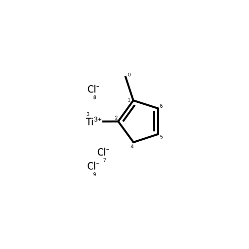 CC1=[C]([Ti+3])CC=C1.[Cl-].[Cl-].[Cl-]